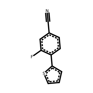 N#Cc1ccc(-c2cccs2)c(F)c1